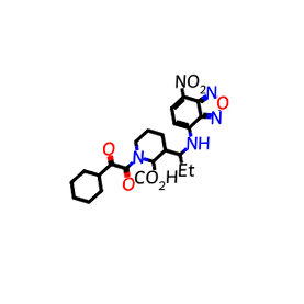 CCC(Nc1ccc([N+](=O)[O-])c2nonc12)C1CCCN(C(=O)C(=O)C2CCCCC2)C1C(=O)O